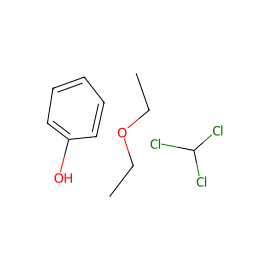 CCOCC.ClC(Cl)Cl.Oc1ccccc1